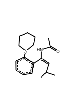 CC(=O)NC(=CC(C)C)c1ccccc1N1CCCCC1